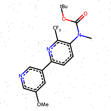 COc1cncc(-c2ccc(N(C)C(=O)OC(C)(C)C)c(C(F)(F)F)n2)c1